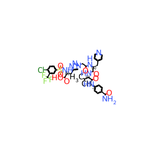 CC(C)[C@H](NC(=O)[C@H](Cc1ccncc1)NC(=O)Cn1cc(C[C@H](NS(=O)(=O)c2ccc(Cl)c(C(F)(F)F)c2)C(=O)O)nn1)C(=O)Nc1ccc(C(N)=O)cc1